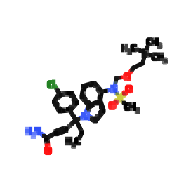 CCC(C#CC(N)=O)(c1ccc(Cl)cc1)n1ccc2c(N(COCC[Si](C)(C)C)S(C)(=O)=O)cccc21